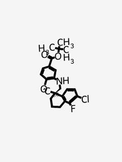 CC(C)(C)OC(=O)c1ccc2c(c1)NC[C@@]1(CCCc3c1ccc(Cl)c3F)CO2